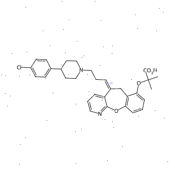 CC(C)(Oc1cccc2c1C/C(=C/CCN1CCC(c3ccc(Cl)cc3)CC1)c1cccnc1O2)C(=O)O